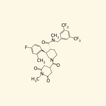 Cc1cc(F)ccc1[C@@H]1CN(C(=O)C2CC(=O)N(C)C(=O)C2)CC[C@H]1C(=O)N(C)Cc1cc(C(F)(F)F)cc(C(F)(F)F)c1